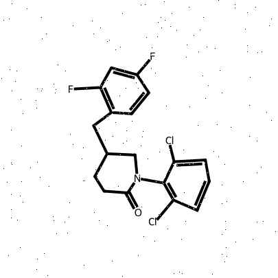 O=C1CCC(Cc2ccc(F)cc2F)CN1c1c(Cl)cccc1Cl